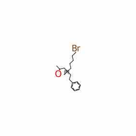 CC(=O)C[C@](C)(CCCCCBr)CCc1ccccc1